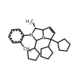 Cc1ccccc1N1C(C2CCCC2)N2C(C=CC2(C2CCCC2)C2CCCC2)[C@@H]1C